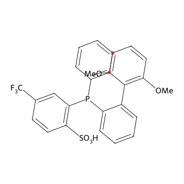 COc1cccc(OC)c1-c1ccccc1P(c1ccccc1)c1cc(C(F)(F)F)ccc1S(=O)(=O)O